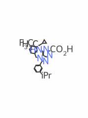 CC(C)c1cccc(-c2nc3nc(C(=O)O)nc(N[C@H](C)C4CC4)c3n2CC2=CCC(C(F)(F)F)C=C2)c1